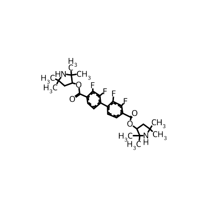 CC1(C)CC(OC(=O)c2ccc(-c3ccc(C(=O)OC4CC(C)(C)NC4(C)C)c(F)c3F)c(F)c2F)C(C)(C)N1